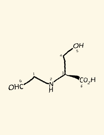 O=CCN[C@@H](CO)C(=O)O